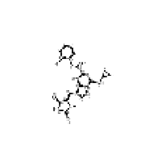 CN(Cc1ccccc1F)c1nc(NC2CC2)n2ncc(/C=C3\NC(=O)NC3=O)c2n1